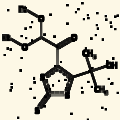 CCOC(OCC)C(=O)c1sc(=S)sc1C(C)(C)O